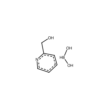 OBO.OCc1ccccn1